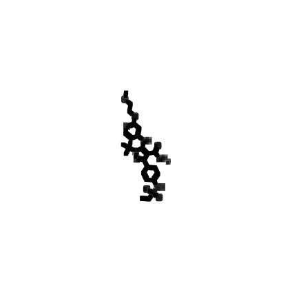 C=CS(=O)(=O)Nc1ccc(-c2nn(C(C)(C)C)c(Nc3ccnc(OCCOC)c3)c2C(N)=O)cc1